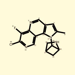 Cc1cc2cnc3c(F)c(Cl)ncc3c2n1C1C2CNC1C2